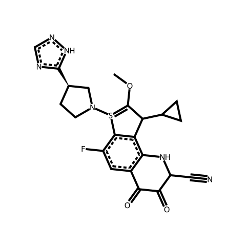 COC1=S(N2CC[C@@H](c3ncn[nH]3)C2)c2c(F)cc3c(c2C1C1CC1)NC(C#N)C(=O)C3=O